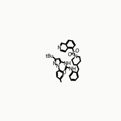 Cc1ccc(-n2nc(C(C)(C)C)cc2NC(=O)Nc2ccccc2CC2CCN(S(=O)(=O)c3cccc4cnccc34)CC2)cc1